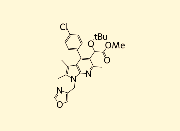 COC(=O)C(OC(C)(C)C)c1c(C)nc2c(c(C)c(C)n2Cc2cocn2)c1-c1ccc(Cl)cc1